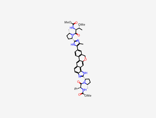 COC(=O)N[C@H](C(=O)N1[C@@H](C)CC[C@H]1c1nc2ccc3cc4c(cc3c2[nH]1)OCc1cc(-c2[nH]c([C@@H]3CC[C@H](C)N3C(=O)[C@@H](NC(=O)OC)[C@@H](C)OC)nc2C)ccc1-4)C(C)C